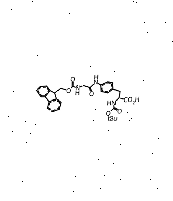 CC(C)(C)OC(=O)N[C@@H](Cc1ccc(NC(=O)CNC(=O)OCC2c3ccccc3-c3ccccc32)cc1)C(=O)O